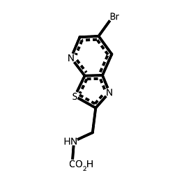 O=C(O)NCc1nc2cc(Br)cnc2s1